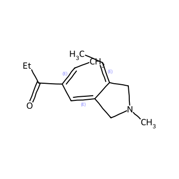 C\C=C(/C=C1/CN(C)C/C1=C/C)C(=O)CC